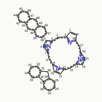 C1=Cc2cc3ccc(cc4nc(cc5ccc(cc1n2)[nH]5)C=C4)[nH]3.c1ccc2c(c1)Cc1ccccc1-2.c1ccc2cc3ccccc3cc2c1